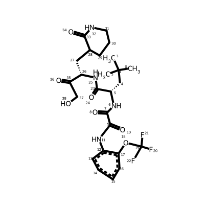 CC(C)(C)C[C@H](NC(=O)C(=O)Nc1ccccc1OC(F)(F)F)C(=O)N[C@@H](CC1CCCNC1=O)C(=O)CO